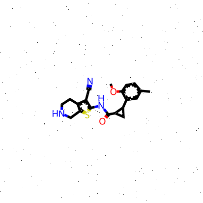 COc1ccc(C)cc1C1CC1C(=O)Nc1sc2c(c1C#N)CCNC2